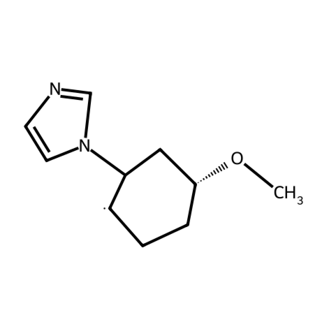 CO[C@@H]1CC[CH]C(n2ccnc2)C1